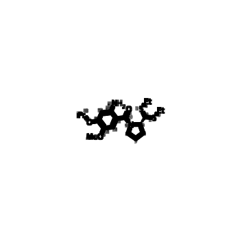 CCSC(SCC)[C@@H]1CCCN1C(=O)c1cc(OC)c(OC(C)C)cc1N